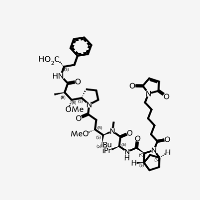 CC[C@H](C)[C@@H]([C@@H](CC(=O)N1CCC[C@H]1[C@H](OC)[C@@H](C)C(=O)N[C@@H](Cc1ccccc1)C(=O)O)OC)N(C)C(=O)[C@@H](NC(=O)[C@@H]1[C@H]2CC[C@@H](C2)N1C(=O)CCCCCN1C(=O)C=CC1=O)C(C)C